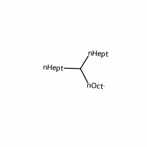 CCCCCCC[CH]C(CCCCCCC)CCCCCCC